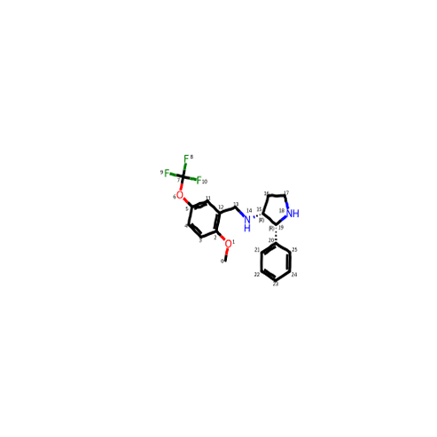 COc1ccc(OC(F)(F)F)cc1CN[C@@H]1CCN[C@@H]1c1ccccc1